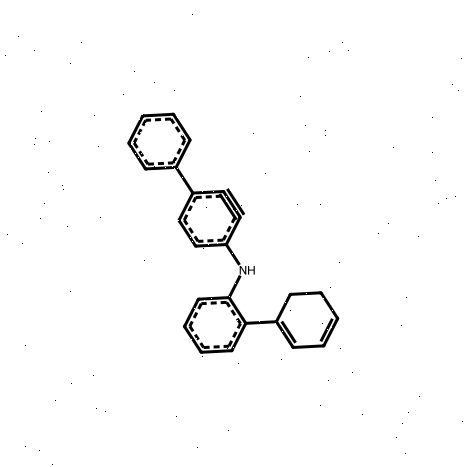 c1c(Nc2ccccc2C2=CC=CCC2)ccc(-c2ccccc2)c#1